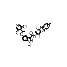 CC(Oc1ccc2[nH]nc(C(=O)Nc3ccc(N=S4(=O)CCN(C)CC4)nc3)c2c1)c1c(Cl)cncc1Cl